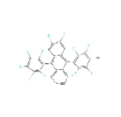 Fc1cc2c(-c3c(F)c(F)c(F)c(F)c3F)c3cccc(F)c3c(-c3c(F)c(F)c(C(F)(F)F)c(F)c3F)c2cc1F